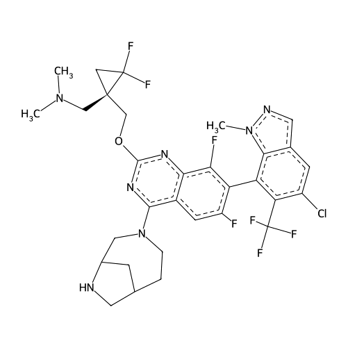 CN(C)C[C@@]1(COc2nc(N3CCC4CNC(C4)C3)c3cc(F)c(-c4c(C(F)(F)F)c(Cl)cc5cnn(C)c45)c(F)c3n2)CC1(F)F